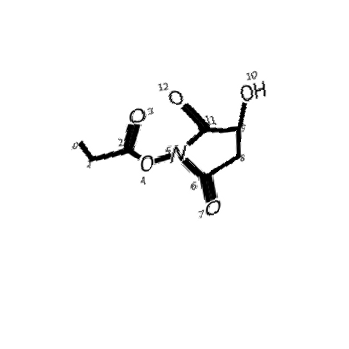 CCC(=O)ON1C(=O)CC(O)C1=O